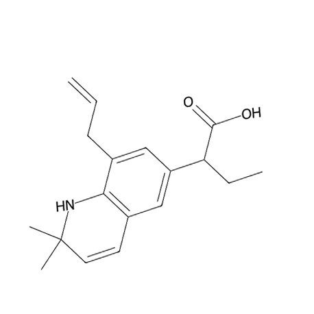 C=CCc1cc(C(CC)C(=O)O)cc2c1NC(C)(C)C=C2